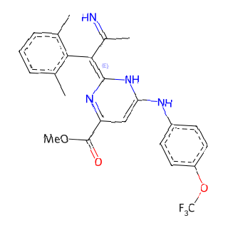 COC(=O)C1=N/C(=C(/C(C)=N)c2c(C)cccc2C)NC(Nc2ccc(OC(F)(F)F)cc2)=C1